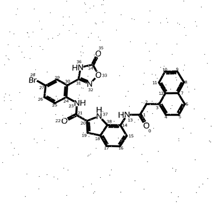 O=C(Cc1cccc2ccccc12)Nc1cccc2cc(C(=O)Nc3ccc(Br)cc3-c3noc(=O)[nH]3)[nH]c12